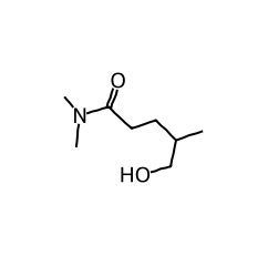 CC(CO)CCC(=O)N(C)C